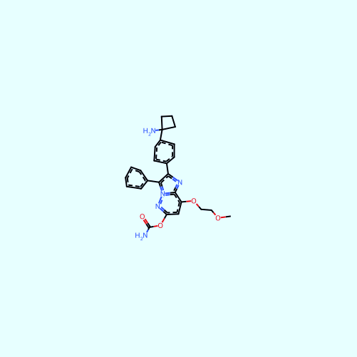 COCCOc1cc(OC(N)=O)nn2c(-c3ccccc3)c(-c3ccc(C4(N)CCC4)cc3)nc12